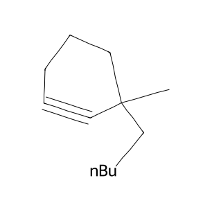 CCCCCC1(C)C#CCCC1